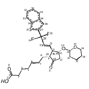 O=C(O)CCCC=CC[C@H]1C(=O)C[C@@H](OC2CCCCO2)[C@@H]1C=CC(F)(F)c1cc2ccccc2s1